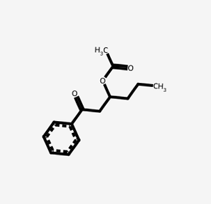 CCCC(CC(=O)c1ccccc1)OC(C)=O